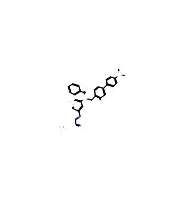 COC(=O)/C=C/c1cncc(N(Cc2ccc(-c3ccc(N(C)C)cc3)cc2Cl)C(=O)c2ccccc2)c1